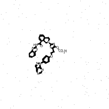 O=C(O)Oc1nc(N2CCc3cccc(C(=O)Nc4nc5ccccc5s4)c3C2)sc1CCOc1ccc(-n2ncc3cncnc32)cc1